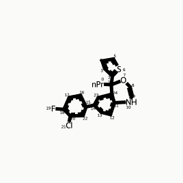 CCCC1(c2cccs2)OC=CNc2ccc(-c3ccc(F)c(Cl)c3)cc21